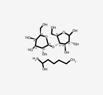 CCCCCC(N)O.OC[C@H]1O[C@@H](O[C@H]2[C@H](O)[C@@H](O)C(O)O[C@@H]2CO)[C@H](O)[C@@H](O)[C@H]1O